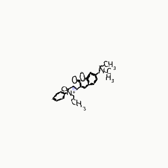 CCN(CC)c1ccc2cc(/C=C/c3oc4ccccc4[n+]3CC)c(=O)oc2c1